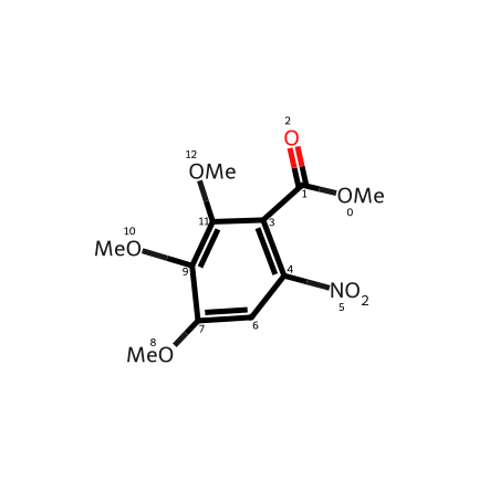 COC(=O)c1c([N+](=O)[O-])cc(OC)c(OC)c1OC